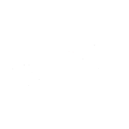 O=C(CC1CC2C=CC1C2)OC1CCCCC1